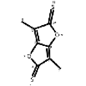 CC1=C2OC(=S)C(C)=C2OC1=S